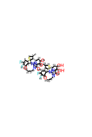 Cc1csc([C@@H]2c3ccc(F)c(F)c3OC/C=C\CN3CN2n2ccc(=O)c(OCc4csc([C@H]5c6ccc(F)c(F)c6OC/C=C\CN6CN5N5C=CC(O)C(O)=C5C6=O)c4)c2C3=O)c1